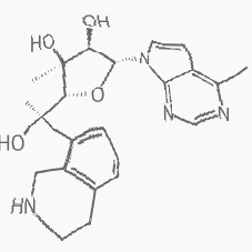 Cc1ncnc2c1ccn2[C@@H]1O[C@H]([C@](C)(O)c2cccc3c2CNCC3)[C@@](C)(O)[C@H]1O